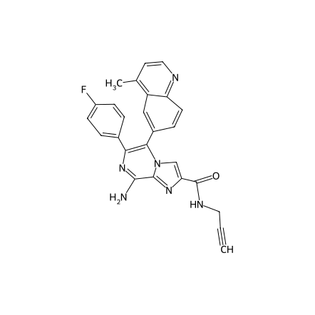 C#CCNC(=O)c1cn2c(-c3ccc4nccc(C)c4c3)c(-c3ccc(F)cc3)nc(N)c2n1